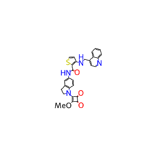 COc1c(N2CCc3cc(NC(=O)c4sccc4NCc4ccnc5ccccc45)ccc32)c(=O)c1=O